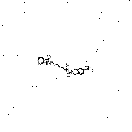 Cc1ccc2c(c1)CN(C(=O)NCCCCCCNC(=O)c1cccnc1)C2